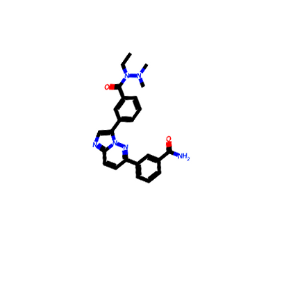 CCN(C(=O)c1cccc(-c2cnc3ccc(-c4cccc(C(N)=O)c4)nn23)c1)N(C)C